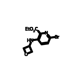 CCOC(=O)c1nc(Br)ccc1NC1COC1